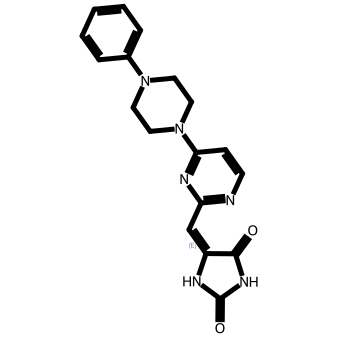 O=C1NC(=O)/C(=C\c2nccc(N3CCN(c4ccccc4)CC3)n2)N1